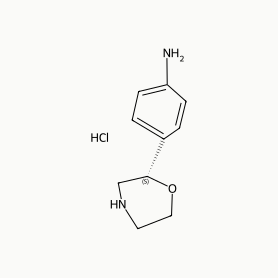 Cl.Nc1ccc([C@H]2CNCCO2)cc1